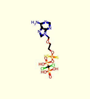 Nc1ncnc2c1ncn2COCCOP(=S)(S)OP(=O)(O)C(Cl)(Cl)P(=O)(O)O